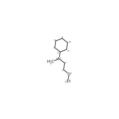 CCOCCN(C)C1CCCCC1